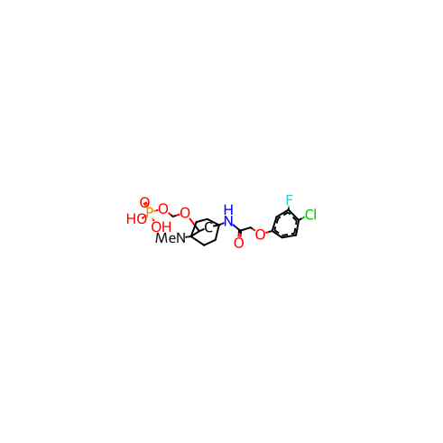 CNC12CCC(NC(=O)COc3ccc(Cl)c(F)c3)(CC1)CC2OCOP(=O)(O)O